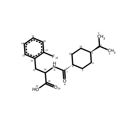 CC(C)[C@H]1CC[C@H](C(=O)NC(Cc2ccccc2F)C(=O)O)CC1